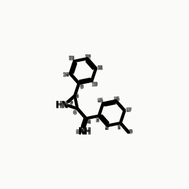 CC1C=C(C(=N)C2NC2c2ccccc2)C=CC1